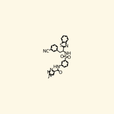 Cn1cc(C(=O)Nc2cccc(S(=O)(=O)NC(Cc3cccc(C#N)c3)c3nc4ccccc4s3)c2)nn1